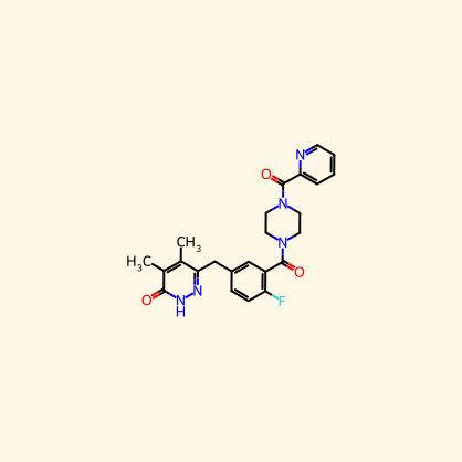 Cc1c(Cc2ccc(F)c(C(=O)N3CCN(C(=O)c4ccccn4)CC3)c2)n[nH]c(=O)c1C